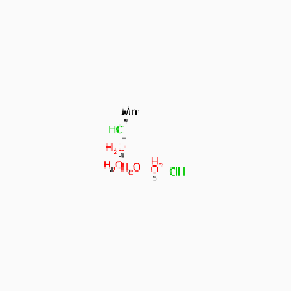 Cl.Cl.O.O.O.O.[Mn]